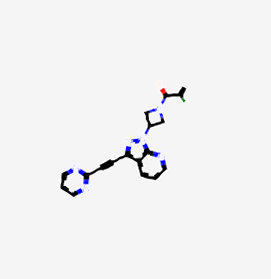 C=C(F)C(=O)N1CC(n2nc(C#Cc3ncccn3)c3cccnc32)C1